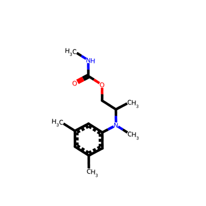 CNC(=O)OCC(C)N(C)c1cc(C)cc(C)c1